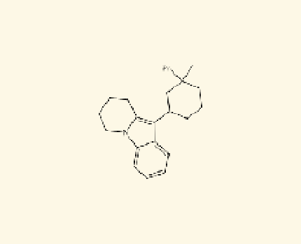 CC(C)C1(C)CCCC(c2c3n(c4ccccc24)CCCC3)C1